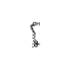 CCC[C@H](CC/C=C/C=C/C#CC#C/C=C\CO)OC(C)=O